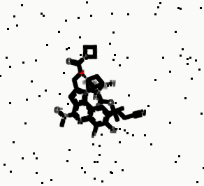 C[S+]([O-])c1nc2c(F)c(Br)c(CCC#N)cc2c2c1cc(CCC(=O)N1CCC1)n2[C@H]1[C@@H]2C[C@H]1N(C(=O)OC(C)(C)C)C2